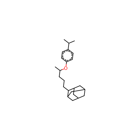 CC(CCCC1C2CC3CC(C2)CC1C3)Oc1ccc(C(C)C)cc1